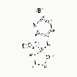 CCOC(=O)C1(Cc2ccc(Br)nc2)CCCO1